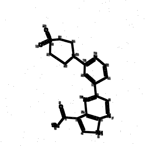 CC(C)(C)C(=O)c1c[nH]c2ncc(-c3ccnc(N4CCS(=O)(=O)CC4)c3)nc12